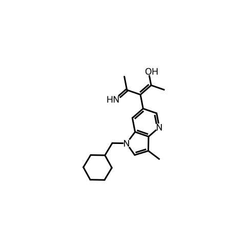 CC(=N)/C(=C(/C)O)c1cnc2c(C)cn(CC3CCCCC3)c2c1